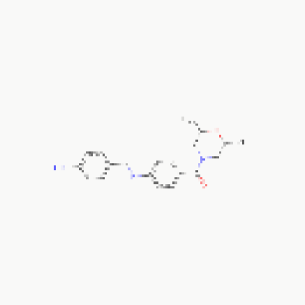 CC1CN(C(=O)c2ccc(NCc3ccc(N)cc3)cc2)CC(C)O1